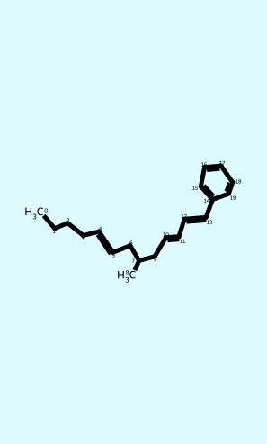 CCCCC=CCC(C)CC=CC=Cc1ccccc1